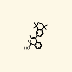 CC=C(c1ccc2c(c1)C(C)(C)CCC2(C)C)c1ccccc1C(=O)O